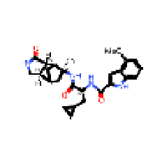 COc1cccc2[nH]c(C(=O)N[C@@H](CC3CC3)C(=O)N[C@@]3(C#N)CC4CC3[C@H]3C(=O)NC[C@H]43)cc12